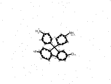 Nc1ccc(C2(c3ccc(N)cc3)c3cc(F)ccc3-c3ccc(Cl)cc32)cc1